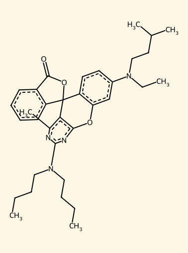 CCCCN(CCCC)c1nc(C)c2c(n1)Oc1cc(N(CC)CCC(C)C)ccc1C21OC(=O)c2ccccc21